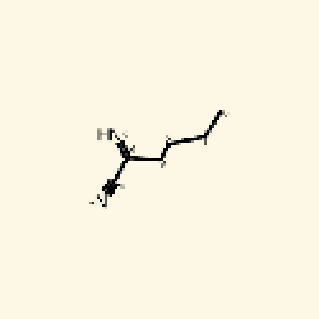 CCCCC(=N)C#N